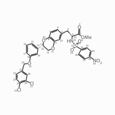 COC(=O)[C@H](Cc1ccc2c(c1)OC[C@H](c1cccc(OCc3ccc(Cl)c(Cl)c3)c1)O2)NS(=O)(=O)c1ccc([N+](=O)[O-])cc1